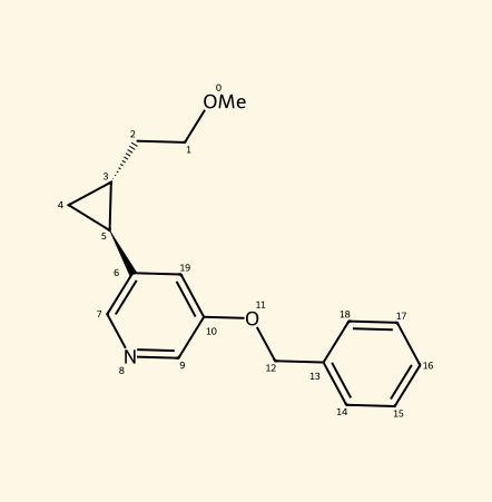 COCC[C@H]1C[C@@H]1c1cncc(OCc2ccccc2)c1